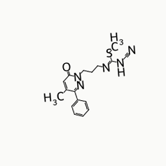 CSC(=NCCCn1nc(-c2ccccc2)c(C)cc1=O)NC#N